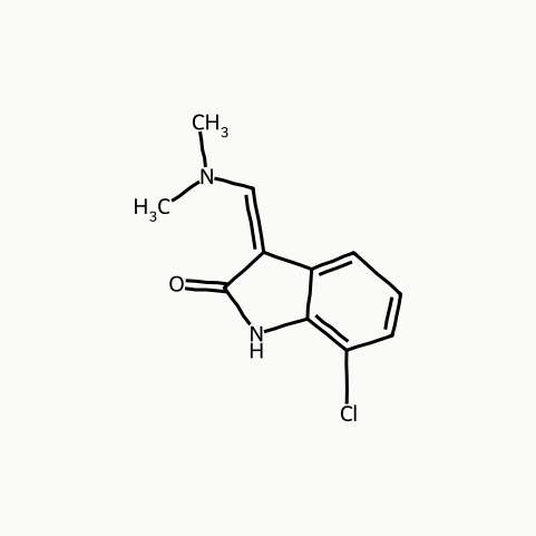 CN(C)C=C1C(=O)Nc2c(Cl)cccc21